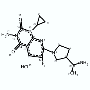 C[C@H](N)C1CCN(c2nc3c(cc2F)c(=O)n(N)c(=O)n3C2CC2)C1.Cl